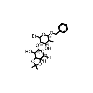 CCC1O[C@@H](OCc2ccccc2)C(C)[C@@H](O)[C@@H]1O[C@@H]1O[C@@H](CC)[C@@H]2OC(C)(C)OC2C1O